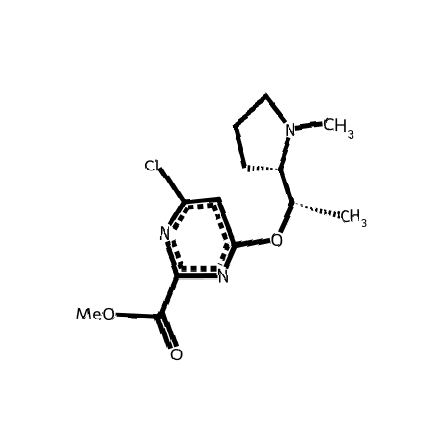 COC(=O)c1nc(Cl)cc(O[C@@H](C)[C@@H]2CCCN2C)n1